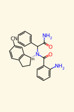 N#Cc1ccc2c(c1)[C@H](N(C(=O)c1ccccc1N)C(C(N)=O)c1ccccc1)CC2